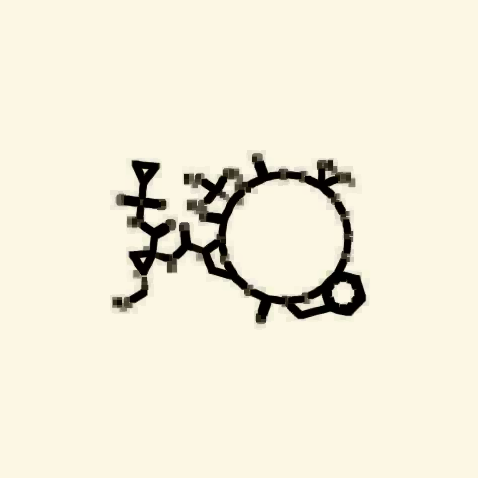 CC[C@@H]1C[C@]1(NC(=O)[C@@H]1CC2CC(=O)N3Cc4cccc(c4C3)CCCCC(C)(C)COC(=O)N[C@@H](C(C)(C)C)C(=O)N1C2)C(=O)NS(=O)(=O)C1CC1